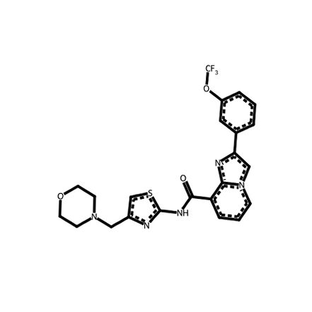 O=C(Nc1nc(CN2CCOCC2)cs1)c1cccn2cc(-c3cccc(OC(F)(F)F)c3)nc12